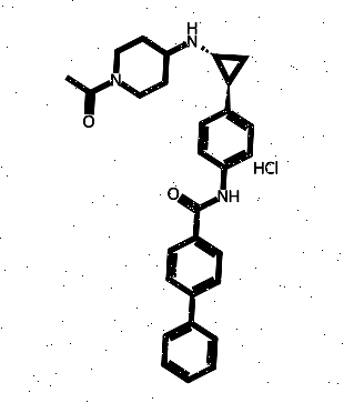 CC(=O)N1CCC(N[C@@H]2C[C@H]2c2ccc(NC(=O)c3ccc(-c4ccccc4)cc3)cc2)CC1.Cl